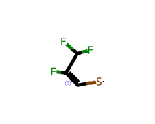 F/C(=C/[S])C(F)F